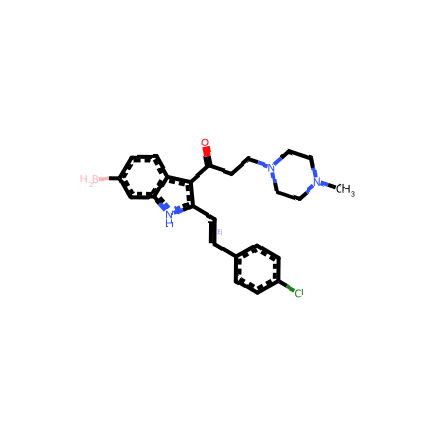 Bc1ccc2c(C(=O)CCN3CCN(C)CC3)c(/C=C/c3ccc(Cl)cc3)[nH]c2c1